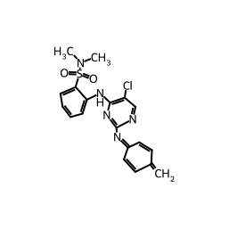 C=C1C=CC(=Nc2ncc(Cl)c(Nc3ccccc3S(=O)(=O)N(C)C)n2)C=C1